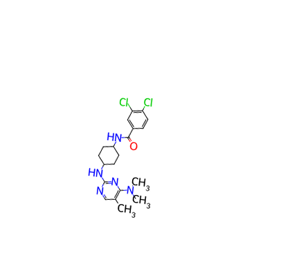 Cc1cnc(NC2CCC(NC(=O)c3ccc(Cl)c(Cl)c3)CC2)nc1N(C)C